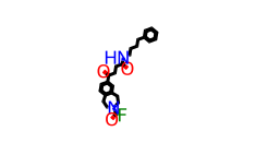 O=C(CCC(=O)c1ccc2c(c1)CCN(C(=O)F)CC2)NCCCCc1ccccc1